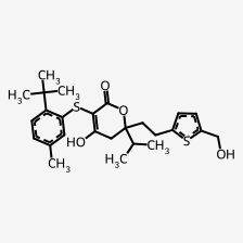 Cc1ccc(C(C)(C)C)c(SC2=C(O)CC(CCc3ccc(CO)s3)(C(C)C)OC2=O)c1